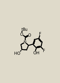 CC(C)(C)OC(=O)N1C[C@H](O)CC1c1cc(F)cc(F)c1O